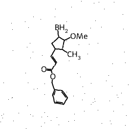 BC1CC(/C=C/C(=O)OCc2ccccc2)C(C)C1OC